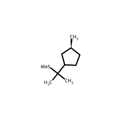 CSC(C)(C)C1CC[C@H](C)C1